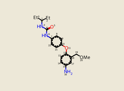 CCC(CC)NC(=O)Nc1ccc(Oc2ccc(N)cc2COC)cc1